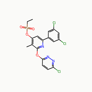 CCS(=O)(=O)Oc1cc(-c2cc(Cl)cc(Cl)c2)nc(Oc2ccc(Cl)nn2)c1C